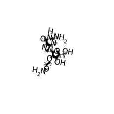 NOCCO[C@@H]1[C@H](O)[C@@H](CO)O[C@H]1n1cnc2c(=O)[nH]c(N)nc21